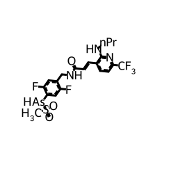 CCCNc1nc(C(F)(F)F)ccc1C=CC(=O)NCc1cc(F)c([AsH]S(C)(=O)=O)cc1F